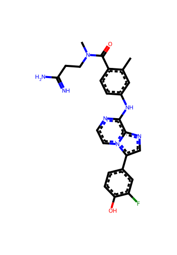 Cc1cc(Nc2nccn3c(-c4ccc(O)c(F)c4)cnc23)ccc1C(=O)N(C)CCC(=N)N